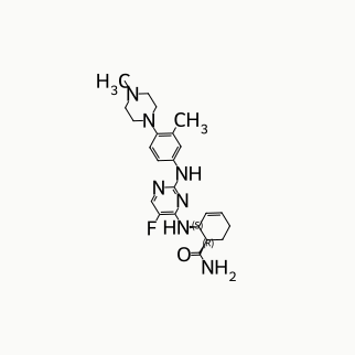 Cc1cc(Nc2ncc(F)c(N[C@H]3C=CCC[C@H]3C(N)=O)n2)ccc1N1CCN(C)CC1